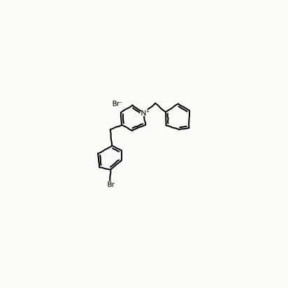 Brc1ccc(Cc2cc[n+](Cc3ccccc3)cc2)cc1.[Br-]